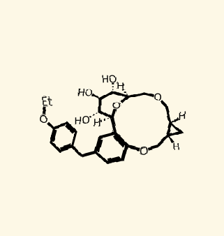 CCOc1ccc(Cc2ccc3c(c2)[C@@H]2O[C@H](COC[C@@H]4C[C@@H]4CO3)[C@@H](O)[C@H](O)[C@H]2O)cc1